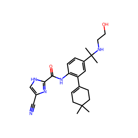 CC1(C)CC=C(c2cc(C(C)(C)NCCO)ccc2NC(=O)c2nc(C#N)c[nH]2)CC1